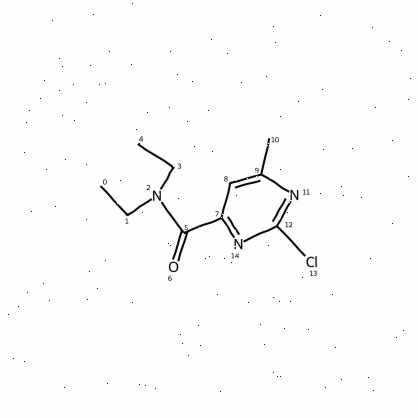 CCN(CC)C(=O)c1cc(C)nc(Cl)n1